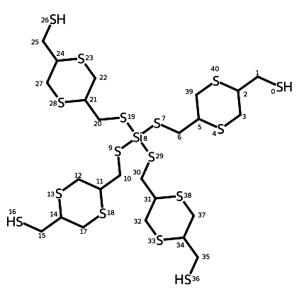 SCC1CSC(CS[Si](SCC2CSC(CS)CS2)(SCC2CSC(CS)CS2)SCC2CSC(CS)CS2)CS1